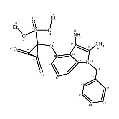 CCOP(=O)(OCC)C1(Oc2cccc3c2c(N)c(C)n3Cc2ccccc2)C(=O)C1=O